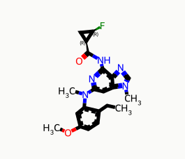 CCc1ccc(OC)cc1N(C)c1cc2c(ncn2C)c(NC(=O)[C@H]2C[C@H]2F)n1